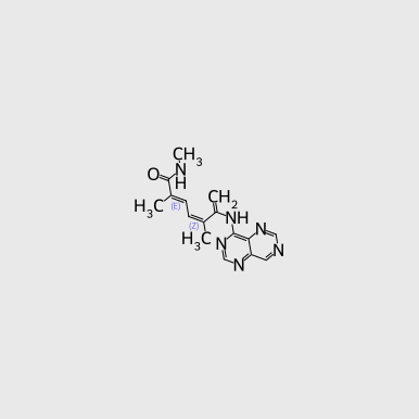 C=C(Nc1ncnc2cncnc12)/C(C)=C\C=C(/C)C(=O)NC